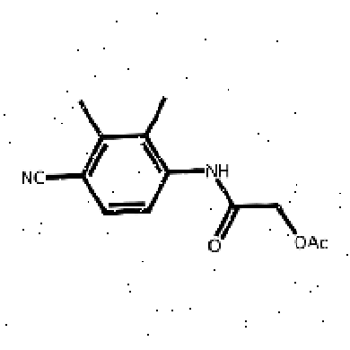 CC(=O)OCC(=O)Nc1ccc(C#N)c(C)c1C